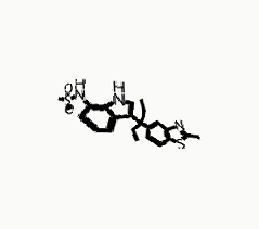 CCC(CC)(c1ccc2sc(C)nc2c1)c1c[nH]c2c(NS(C)(=O)=O)cccc12